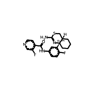 NC1=N[C@@]2(c3cc(NC(=O)c4ccncc4F)ccc3F)CCCC[C@H]2CS1